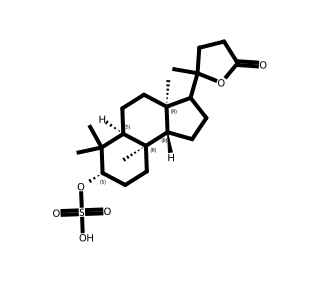 CC1(C2CC[C@@H]3[C@@]4(C)CC[C@H](OS(=O)(=O)O)C(C)(C)[C@H]4CC[C@@]23C)CCC(=O)O1